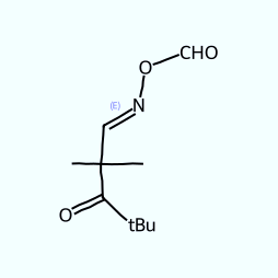 CC(C)(C)C(=O)C(C)(C)/C=N/OC=O